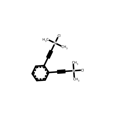 C[Si](C)(Cl)C#Cc1ccccc1C#C[Si](C)(C)Cl